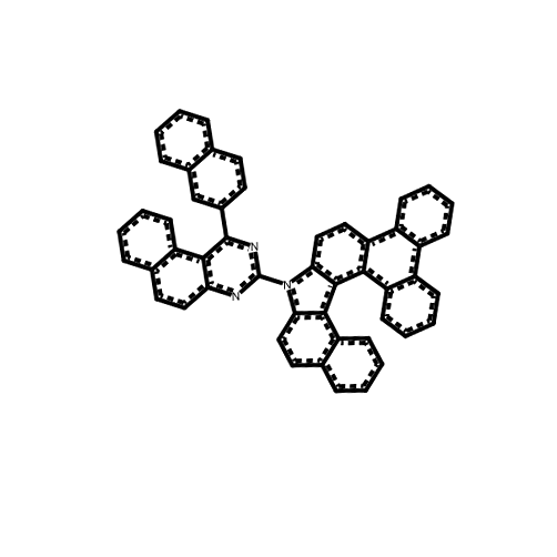 c1ccc2cc(-c3nc(-n4c5ccc6ccccc6c5c5c6c7ccccc7c7ccccc7c6ccc54)nc4ccc5ccccc5c34)ccc2c1